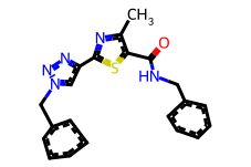 Cc1nc(-c2cn(Cc3ccccc3)nn2)sc1C(=O)NCc1ccccc1